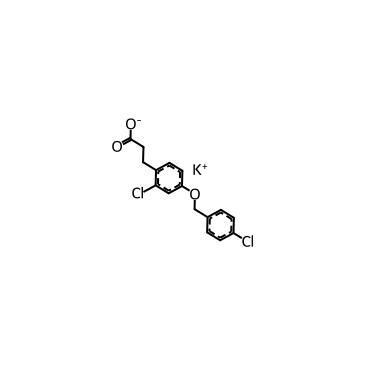 O=C([O-])CCc1ccc(OCc2ccc(Cl)cc2)cc1Cl.[K+]